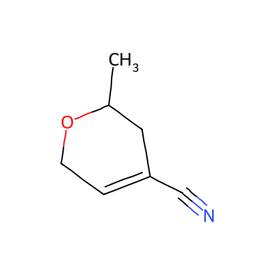 CC1CC(C#N)=CCO1